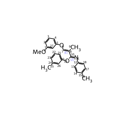 COc1cccc(O/C=C(C)/C(=N/c2ccc(C)cc2)Oc2cccc(C)c2)c1